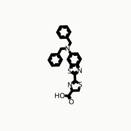 O=C(O)C1CSC(c2nc3ccc(N(Cc4ccccc4)Cc4ccccc4)cc3s2)=N1